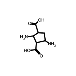 NC1CC(C(=O)O)C(N)C1C(=O)O